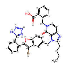 CCCCc1nc2ccn(Cc3ccccc3C(=O)O)c(=O)c2n1Cc1ccc2oc(-c3ccccc3-c3nnn[nH]3)c(Br)c2c1